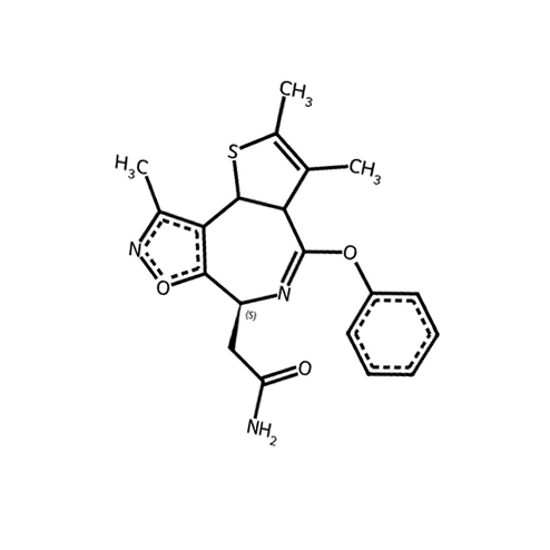 CC1=C(C)C2C(Oc3ccccc3)=N[C@@H](CC(N)=O)c3onc(C)c3C2S1